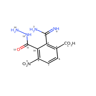 N=C(N)c1c(C(=O)O)ccc([N+](=O)[O-])c1C(=O)NN